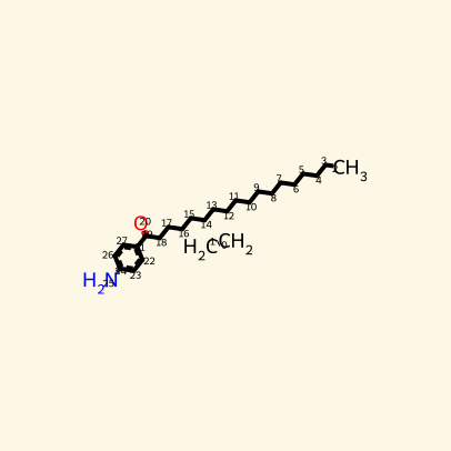 C=C.CCCCCCCCCCCCCCCCCC(=O)c1ccc(N)cc1